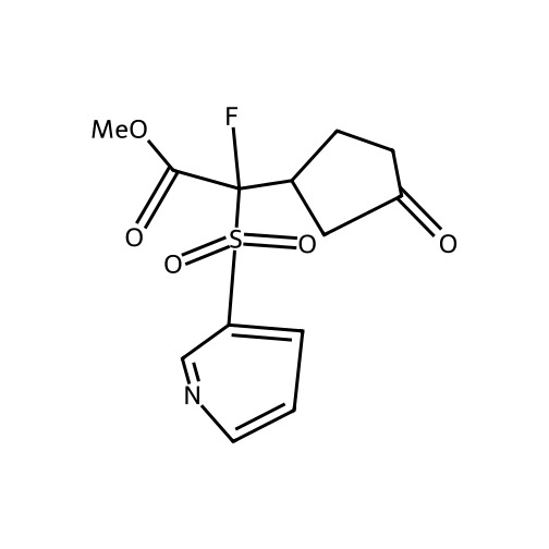 COC(=O)C(F)(C1CCC(=O)C1)S(=O)(=O)c1cccnc1